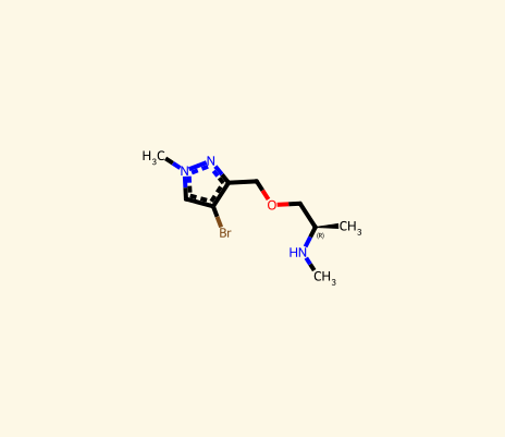 CN[C@H](C)COCc1nn(C)cc1Br